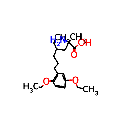 CCOc1ccc(OCC)c(CCCC(CC)CC(C)(N)C(=O)O)c1